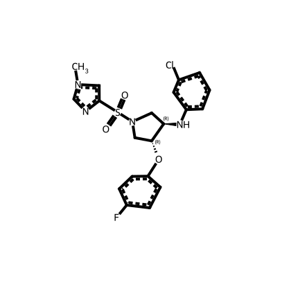 Cn1cnc(S(=O)(=O)N2C[C@@H](Nc3cccc(Cl)c3)[C@H](Oc3ccc(F)cc3)C2)c1